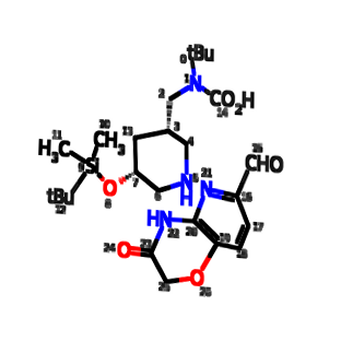 CC(C)(C)N(C[C@@H]1CNC[C@H](O[Si](C)(C)C(C)(C)C)C1)C(=O)O.O=Cc1ccc2c(n1)NC(=O)CO2